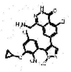 Cn1ncc(-c2cc(Cl)c3c(=O)[nH]nc(CN)c3c2)c1-c1cc(Cl)cc(OC2CC2)c1C#N